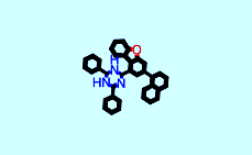 c1ccc(C2=NC(c3cc(-c4cccc5ccccc45)cc4oc5ccccc5c34)NC(c3ccccc3)N2)cc1